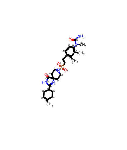 Cc1c(CCS(=O)(=O)N2CCC3(CC2)N=C(C2CCC(C)CC2)NC3=O)ccc(N(C)C(N)=O)c1C